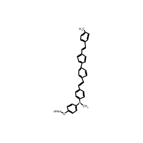 CCCCCCOc1ccc(N(C)c2ccc(/C=C/c3ccc(-c4ccc(/C=C/c5ccc(C)cc5)cc4)cc3)cc2)cc1